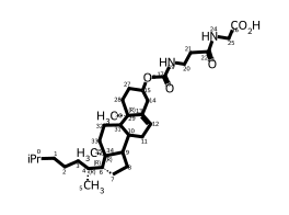 CC(C)CCC[C@@H](C)[C@H]1CCC2C3CC=C4CC(OC(=O)NCCC(=O)NCC(=O)O)CC[C@]4(C)C3CC[C@@]21C